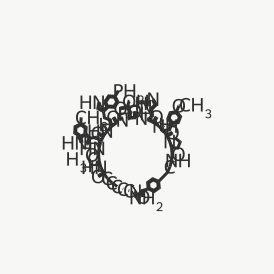 COc1ccc(C[C@@H]2NC(=O)[C@H](Cc3cnc[nH]3)NC(=O)[C@H](CC(=O)O)N(I)C(=O)[C@H](CCc3c[nH]c4cc(P)ccc34)NC(=O)[C@H](Cc3c[nH]c4ccc(C)cc34)NC(=O)[C@@H](C)NC(=O)CCCCCN(N)C(=O)c3ccc(cc3)CCNC(=O)C3CCCN3C2=O)cc1